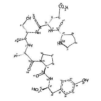 CC(C)[C@H](NC(=O)[C@H](CO)NC(=O)[C@H](CCC(=O)O)NC(=O)[C@@H]1CCCN1)C(=O)N1CCC[C@H]1C(=O)N[C@@H](Cc1ccc(O)cc1)C(=O)O